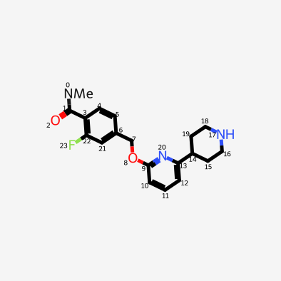 CNC(=O)c1ccc(COc2cccc(C3CCNCC3)n2)cc1F